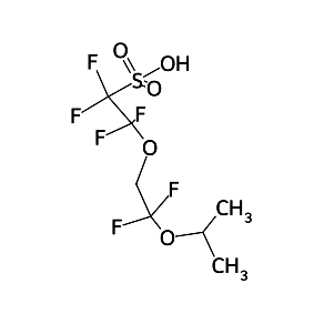 CC(C)OC(F)(F)COC(F)(F)C(F)(F)S(=O)(=O)O